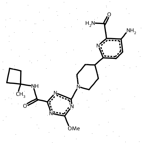 COc1nc(C(=O)NC2(C)CCC2)nc(N2CCC(c3ccc(N)c(C(N)=O)n3)CC2)n1